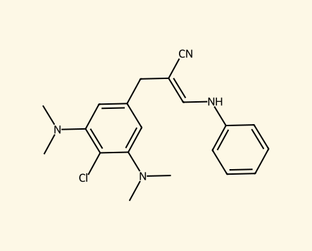 CN(C)c1cc(CC(C#N)=CNc2ccccc2)cc(N(C)C)c1Cl